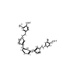 Oc1ccc(CCn2cc(-c3cccc(-c4cn(CCc5ccc(O)c(Br)c5)nn4)c3)nn2)cc1Br